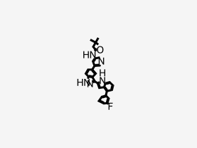 CC(C)(C)CC(=O)Nc1cncc(-c2ccc3[nH]nc(-c4cc5c(-c6cccc(F)c6)cccc5[nH]4)c3c2)c1